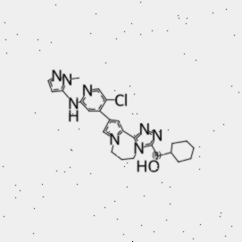 Cn1nccc1Nc1cc(-c2cc3n(c2)CCCn2c-3nnc2[C@H](O)C2CCCCC2)c(Cl)cn1